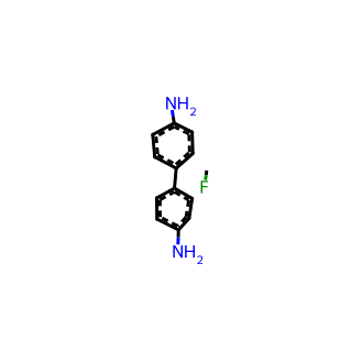 CF.Nc1ccc(-c2ccc(N)cc2)cc1